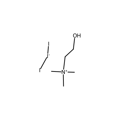 C[N+](C)(C)CCO.I[I-]I